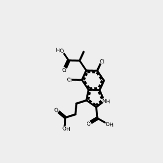 CC(C(=O)O)c1c(Cl)cc2[nH]c(C(=O)O)c(CCC(=O)O)c2c1Cl